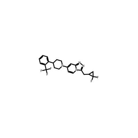 FC(F)(F)c1ccccc1C1CCN(c2ccn3c(CC4CC4(F)F)nnc3c2)CC1